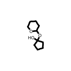 OC1(OC2CCCCO2)CCCC1